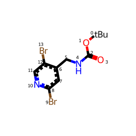 CC(C)(C)OC(=O)NCc1cc(Br)ncc1Br